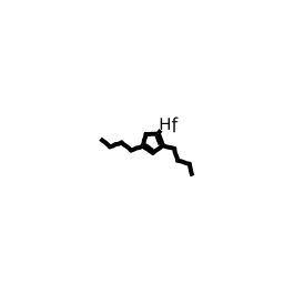 CCCCC1=CC(CCCC)=[C]([Hf])C1